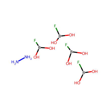 NN.OB(O)F.OB(O)F.OB(O)F.OB(O)F